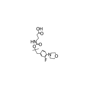 CC(C)(Cc1ccc(N2CCOCC2)c(F)c1)OC(=O)NCCC(=O)O